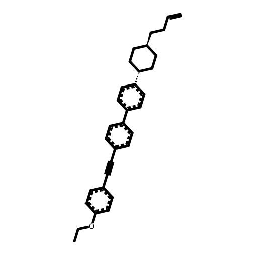 C=CCC[C@H]1CC[C@H](c2ccc(-c3ccc(C#Cc4ccc(OCC)cc4)cc3)cc2)CC1